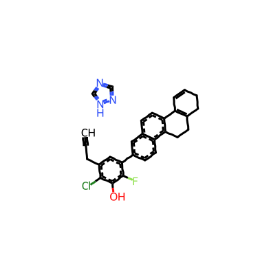 C#CCc1cc(-c2ccc3c4c(ccc3c2)C2=C(CCC=C2)CC4)c(F)c(O)c1Cl.c1nc[nH]n1